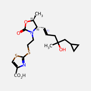 C[C@@H]1OC(=O)N(CCSc2nc(C(=O)O)cs2)[C@H]1/C=C/CC(C)(O)CC1CC1